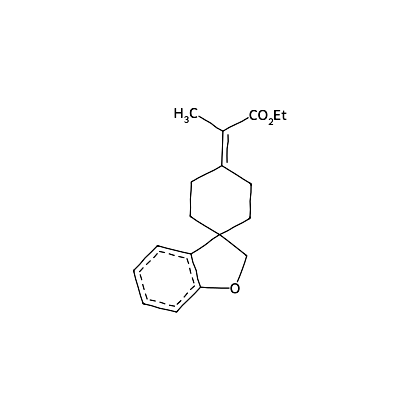 CCOC(=O)C(C)=C1CCC2(CC1)COc1ccccc12